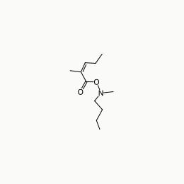 CCC=C(C)C(=O)ON(C)CCCC